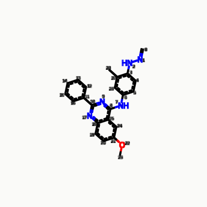 C=NNc1ccc(Nc2nc(-c3ccccc3)nc3ccc(OC)cc23)cc1C